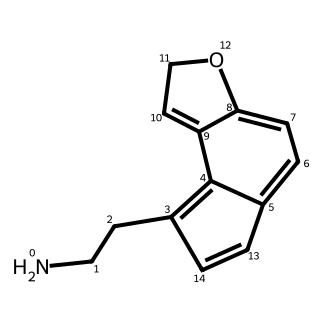 NCCC1=c2c(ccc3c2=CCO3)C=C1